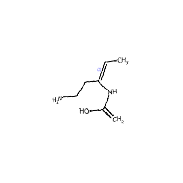 C=C(O)N/C(=C\C)CCN